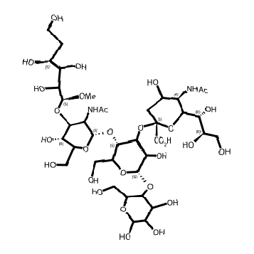 CO[C@@H](OC1C(NC(C)=O)[C@H](O[C@H]2C(CO)O[C@@H](OC3C(CO)OC(O)C(O)C3O)C(O)C2O[C@]2(C(=O)O)CC(O)[C@@H](NC(C)=O)C([C@H](O)[C@H](O)CO)O2)OC(CO)[C@@H]1O)C(O)C(O)[C@@H](O)CCO